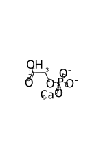 O=C(O)COP(=O)([O-])[O-].[Ca+2]